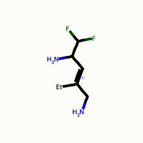 CC/C(=C\C(N)C(F)F)CN